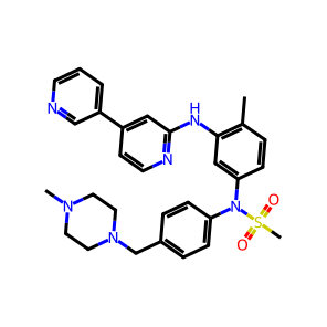 Cc1ccc(N(c2ccc(CN3CCN(C)CC3)cc2)S(C)(=O)=O)cc1Nc1cc(-c2cccnc2)ccn1